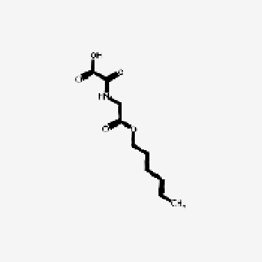 CC=CCCCOC(=O)CNC(=O)C(=O)O